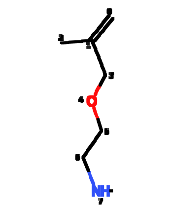 C=C(C)COCC[NH]